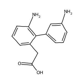 Nc1cccc(-c2c(N)cccc2CC(=O)O)c1